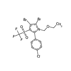 CCOCn1c(Br)c(Br)c(S(=O)(=O)C(F)(F)F)c1-c1ccc(Cl)cc1